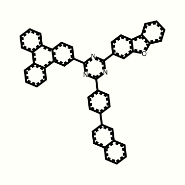 c1ccc2cc(-c3ccc(-c4nc(-c5ccc6c(c5)oc5ccccc56)nc(-c5ccc6c7ccccc7c7ccccc7c6c5)n4)cc3)ccc2c1